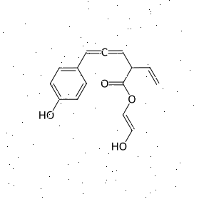 C=CC(C=C=Cc1ccc(O)cc1)C(=O)OC=CO